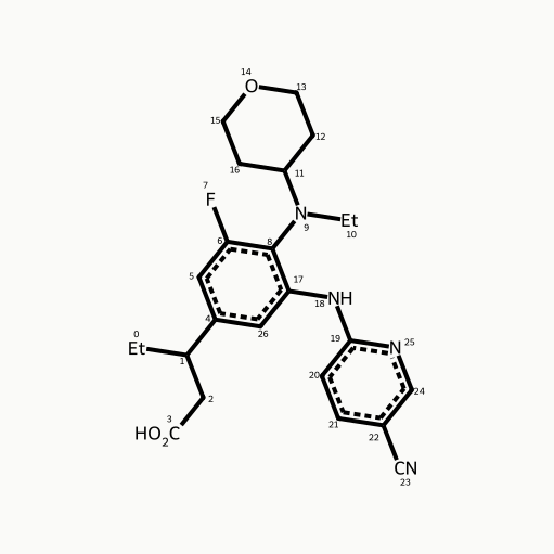 CCC(CC(=O)O)c1cc(F)c(N(CC)C2CCOCC2)c(Nc2ccc(C#N)cn2)c1